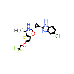 CC(NC(=O)[C@@H]1C[C@H]1c1nc2cc(Cl)ccc2[nH]1)c1ccc(OCC(F)(F)F)s1